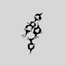 Cl.NC1=NC[C@H]2CN(c3ncc(F)cn3)C[C@]2(c2cc(NC(=O)c3ccc(F)cn3)ccc2F)S1